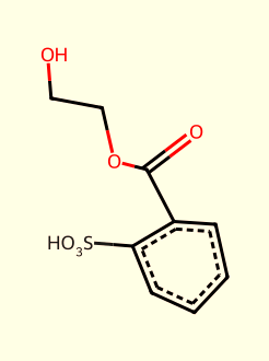 O=C(OCCO)c1ccccc1S(=O)(=O)O